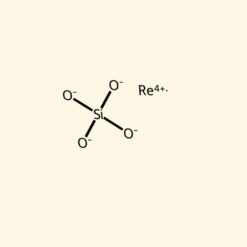 [O-][Si]([O-])([O-])[O-].[Re+4]